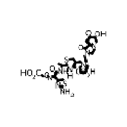 CC(NC(=O)/C(=N\OCC(=O)O)c1csc(N)n1)C1NC(C(=O)O)=C(C[N+]2(CCN3CCn4cc(O)c(=O)cc4C3=O)CCCC2)CS1